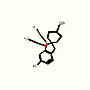 COC1CCC2(CC1)Cc1ccc(O)cc1C21N=C(N)N(C(C)C)O1